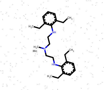 CCc1cccc(CC)c1NCCN(C)CCNc1c(CC)cccc1CC.[Mn]